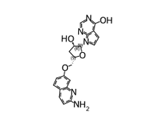 Nc1ccc2ccc(OC[C@@H]3C[C@@H](O)[C@H](n4ccc5c(O)ncnc54)O3)cc2n1